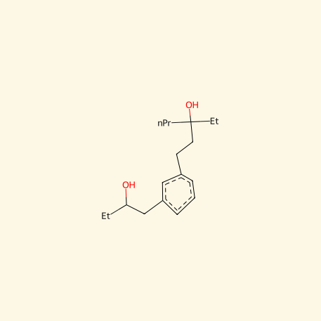 CCCC(O)(CC)CCc1cccc(CC(O)CC)c1